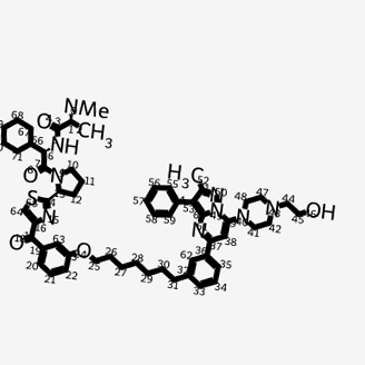 CN[C@@H](C)C(=O)N[C@H](C(=O)N1CCC[C@H]1c1nc(C(=O)c2cccc(OCCCCCCCc3cccc(-c4cc(N5CCN(CCO)CC5)n5nc(C)c(-c6ccccc6)c5n4)c3)c2)cs1)C1CCCCC1